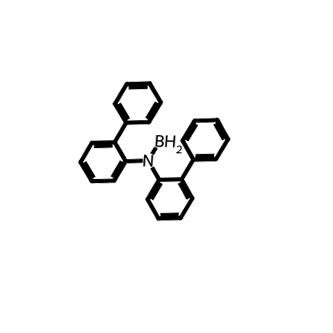 BN(c1ccccc1-c1ccccc1)c1ccccc1-c1ccccc1